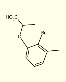 Cc1cccc(OC(C)C(=O)O)c1Br